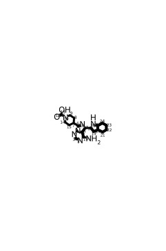 Nc1ncnn2c(C3CCN(C(=O)O)CC3)nc(-c3cc4ccccc4[nH]3)c12